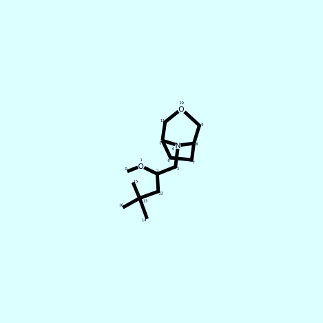 COC(CN1C2CCC1COC2)CC(C)(C)C